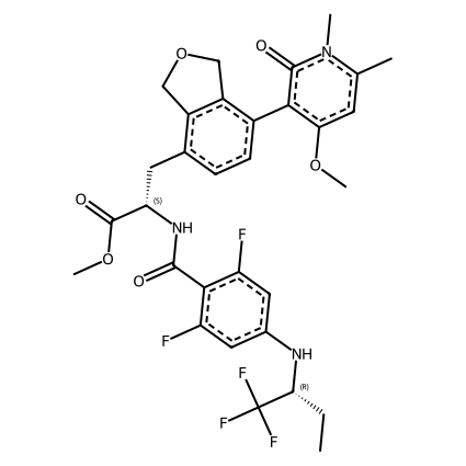 CC[C@@H](Nc1cc(F)c(C(=O)N[C@@H](Cc2ccc(-c3c(OC)cc(C)n(C)c3=O)c3c2COC3)C(=O)OC)c(F)c1)C(F)(F)F